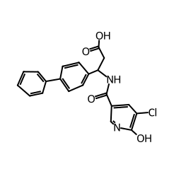 O=C(O)CC(NC(=O)c1cnc(O)c(Cl)c1)c1ccc(-c2ccccc2)cc1